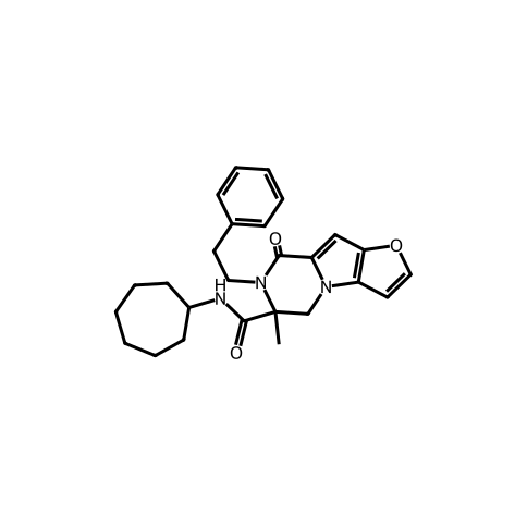 CC1(C(=O)NC2CCCCCC2)Cn2c(cc3occc32)C(=O)N1CCc1ccccc1